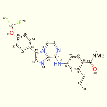 CC=Cc1cc(Nc2nccn3c(-c4ccc(OC(F)F)cc4)cnc23)ccc1C(=O)NC